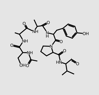 CC(=O)NC(CO)C(=O)NC(C)C(=O)NC(C)C(=O)NC(Cc1ccc(O)cc1)C(=O)N1CCCC1C(=O)NC([C]=O)C(C)C